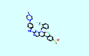 CN1CCN(c2ccc(Nc3ncc4cc(-c5ccc([S+](C)[O-])cc5Cl)c(=O)n(Cc5ccccc5C(F)(F)F)c4n3)cc2)CC1